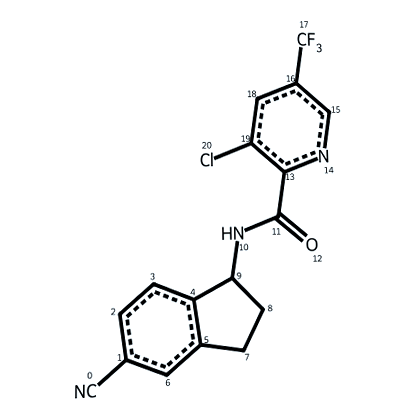 N#Cc1ccc2c(c1)CCC2NC(=O)c1ncc(C(F)(F)F)cc1Cl